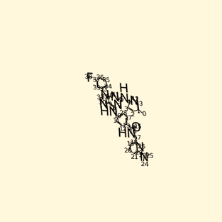 Cc1ccc(Nc2nc(Nc3ccc(C(=O)NCc4cccc(N(C)C)n4)cc3)c3ncn(-c4cccc(F)c4)c3n2)nc1